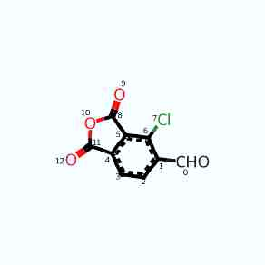 O=Cc1ccc2c(c1Cl)C(=O)OC2=O